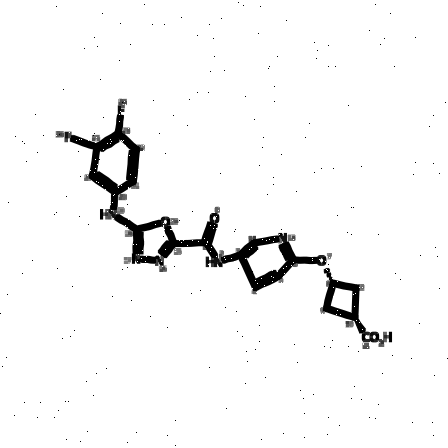 O=C(Nc1ccc(O[C@H]2C[C@H](C(=O)O)C2)nc1)c1nnc(Nc2ccc(F)c(F)c2)o1